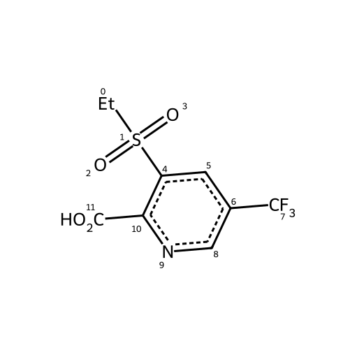 CCS(=O)(=O)c1cc(C(F)(F)F)cnc1C(=O)O